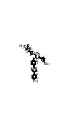 CC(C)(C)c1ccc(C(=O)N[C@@H](Cc2ccc(-c3ncc(-c4ccc(O)cc4)cn3)cc2)C(=O)N2CC(C(=O)NS(C)(=O)=O)C2)s1